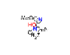 C=CC1CN(Cc2ccccc2)C(C(O)c2ccnc3ccc(OC)cc23)CC1CCC